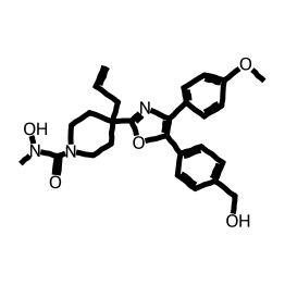 C=CCC1(c2nc(-c3ccc(OC)cc3)c(-c3ccc(CO)cc3)o2)CCN(C(=O)N(C)O)CC1